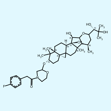 C[C@@H]1CC([C@H](O)C(C)(C)O)OC2C1[C@@]1(C)CCC34C[C@@]35CC[C@H](OC3CN(C(=O)Cc6ccc(F)cc6)CCO3)C(C)(C)[C@@H]5CC[C@H]4[C@]1(C)[C@H]2O